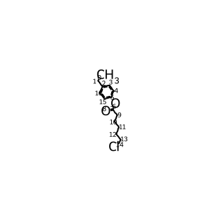 CCc1ccc(OC(=O)CCCCCCl)cc1